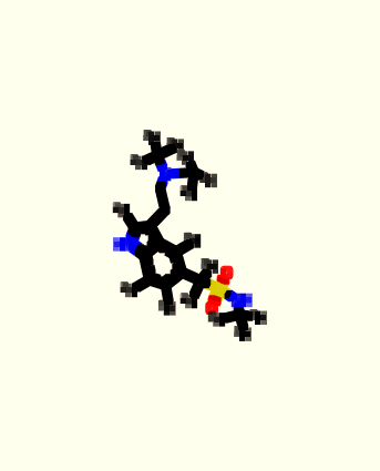 [2H]c1[nH]c2c([2H])c([2H])c(C([2H])([2H])S(=O)(=O)NC([2H])([2H])[2H])c([2H])c2c1CCN(C([2H])([2H])[2H])C([2H])([2H])[2H]